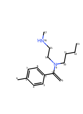 C=C(c1ccc(C)cc1)N(CCCC)CCNC